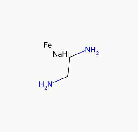 NCCN.[Fe].[NaH]